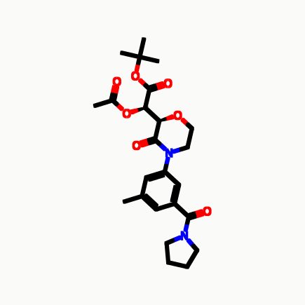 CC(=O)O[C@@H](C(=O)OC(C)(C)C)[C@H]1OCCN(c2cc(C)cc(C(=O)N3CCCC3)c2)C1=O